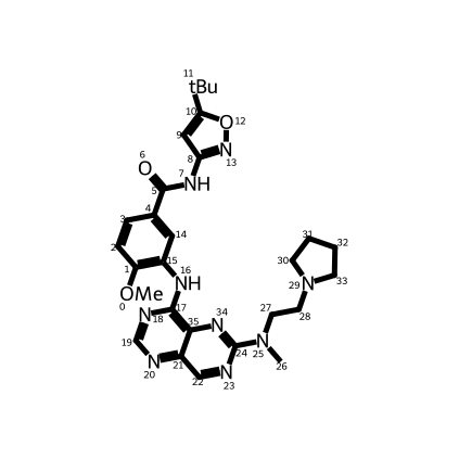 COc1ccc(C(=O)Nc2cc(C(C)(C)C)on2)cc1Nc1ncnc2cnc(N(C)CCN3CCCC3)nc12